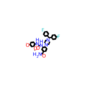 COc1ccc(NC(=O)Nc2cc(C(N)=O)ccc2N2CCN(C(c3ccc(F)cc3)c3ccc(F)cc3)CC2)c(OC)c1